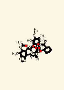 COC(=O)c1ccccc1C(=O)N[C@H]1CS[C@@H]2c3c(OC(C)=O)c(C)c4c(c3[C@H](COC1=O)N1C2[C@H]2c3c(cc(C)c(OC)c3O)C[C@@H]([C@@H]1C#N)N2C)OCO4